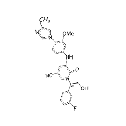 COc1cc(Nc2cc(C#N)cn([C@@H](CO)c3cccc(F)c3)c2=O)ccc1-n1cnc(C)c1